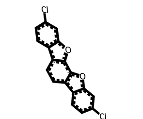 Clc1ccc2c(c1)oc1c2ccc2c3ccc(Cl)cc3oc21